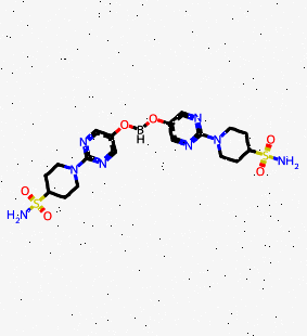 NS(=O)(=O)C1CCN(c2ncc(OBOc3cnc(N4CCC(S(N)(=O)=O)CC4)nc3)cn2)CC1